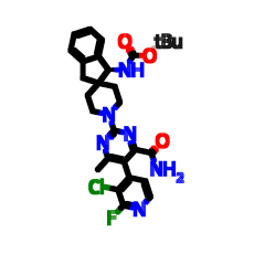 Cc1nc(N2CCC3(CC2)Cc2ccccc2[C@H]3NC(=O)OC(C)(C)C)nc(C(N)=O)c1-c1ccnc(F)c1Cl